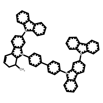 CC1CC=Cc2c1n(-c1ccc(-c3ccc(-n4c5ccccc5c5ccc(-n6c7ccccc7c7ccccc76)cc54)cc3)cc1)c1cc(-n3c4ccccc4c4ccccc43)ccc21